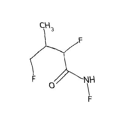 CC(CF)C(F)C(=O)NF